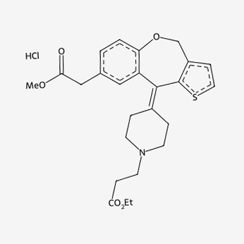 CCOC(=O)CCN1CCC(=C2c3cc(CC(=O)OC)ccc3OCc3ccsc32)CC1.Cl